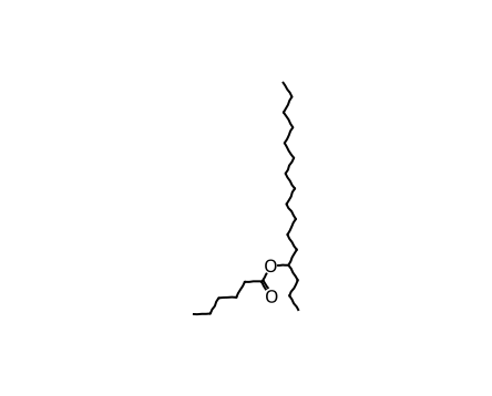 CCCCCCCCCCCCC(CCC)OC(=O)CCCCC